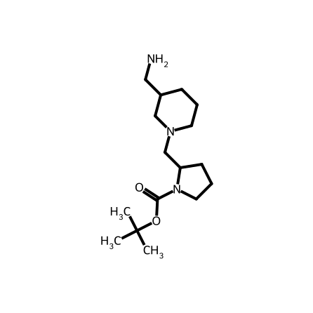 CC(C)(C)OC(=O)N1CCCC1CN1CCCC(CN)C1